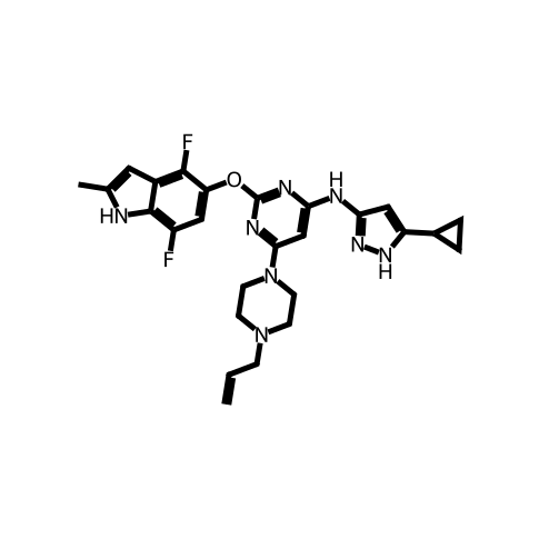 C=CCN1CCN(c2cc(Nc3cc(C4CC4)[nH]n3)nc(Oc3cc(F)c4[nH]c(C)cc4c3F)n2)CC1